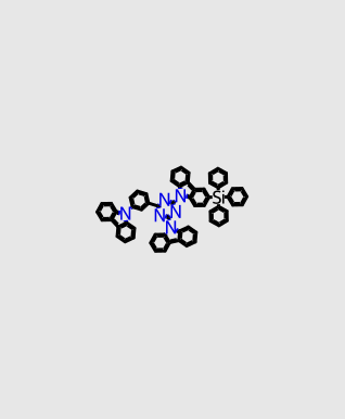 c1ccc([Si](c2ccccc2)(c2ccccc2)c2ccc3c(c2)c2ccccc2n3-c2nc(-c3cccc(-n4c5ccccc5c5ccccc54)c3)nc(-n3c4ccccc4c4ccccc43)n2)cc1